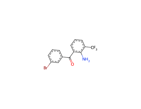 Nc1c(C(=O)c2cccc(Br)c2)cccc1C(F)(F)F